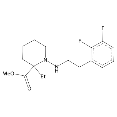 CCC1(C(=O)OC)CCCCN1NCCc1cccc(F)c1F